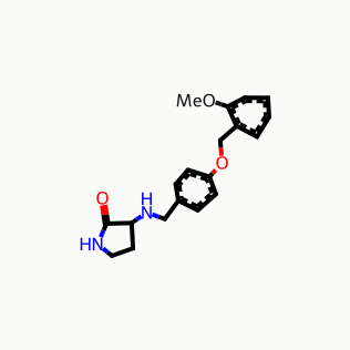 COc1ccccc1COc1ccc(CNC2CCNC2=O)cc1